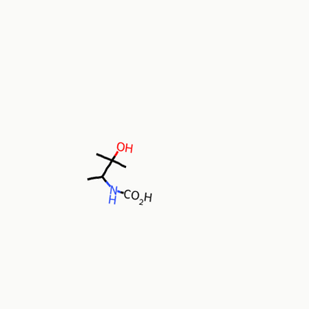 CC(NC(=O)O)C(C)(C)O